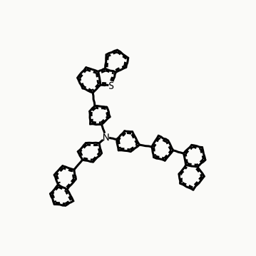 c1ccc2cc(-c3ccc(N(c4ccc(-c5ccc(-c6cccc7ccccc67)cc5)cc4)c4ccc(-c5cccc6c5sc5ccccc56)cc4)cc3)ccc2c1